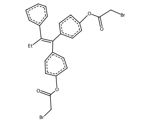 CCC(=C(c1ccc(OC(=O)CBr)cc1)c1ccc(OC(=O)CBr)cc1)c1ccccc1